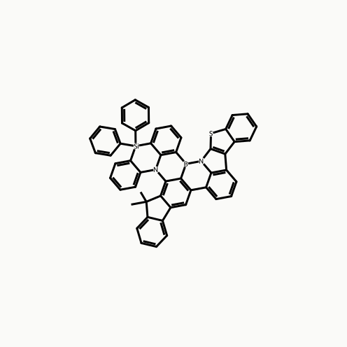 CC1(C)c2ccccc2-c2cc3c4c(c21)N1c2ccccc2[Si](c2ccccc2)(c2ccccc2)c2cccc(c21)B4n1c2sc4ccccc4c2c2cccc-3c21